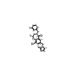 Cc1ccnc(CN2C[C@H](C)Oc3c(Br)cc(Cn4ccnc4C)cc3C2=O)c1